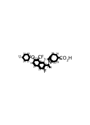 CC(c1cc2c(C(F)(F)F)c(O[C@H]3CC[C@@H](C)CC3)ccc2cc1F)N1CC2CCC(C(=O)O)CC1C2